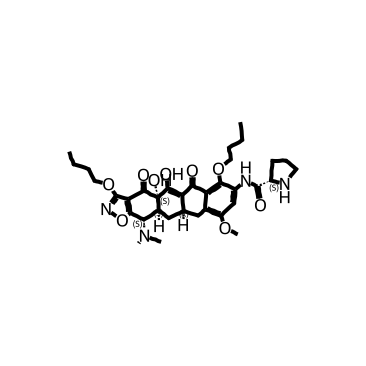 CCCCOc1noc2c1C(=O)[C@@]1(O)C(O)=C3C(=O)c4c(c(OC)cc(NC(=O)[C@@H]5CCCN5)c4OCCCC)C[C@H]3C[C@H]1[C@@H]2N(C)C